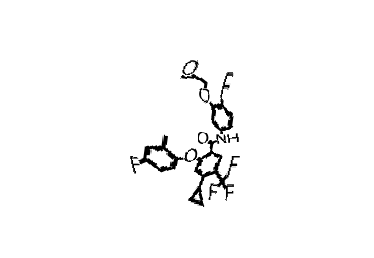 Cc1cc(F)ccc1Oc1cc(C2CC2)c(C(F)(F)F)cc1C(=O)Nc1ccc(F)c(OCC2CO2)c1